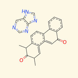 CC1C=c2c(ccc3c2=CC(=O)c2ccccc2-3)C(C)C1=O.c1ncc2[nH]cnc2n1